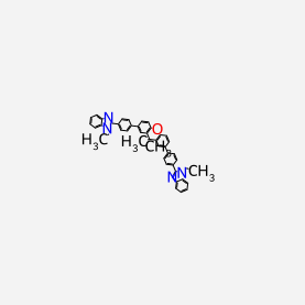 CCn1c(-c2ccc(-c3ccc4c(c3)C(C)(C)c3cc(-c5ccc(-c6nc7ccccc7n6CC)cc5)ccc3O4)cc2)nc2ccccc21